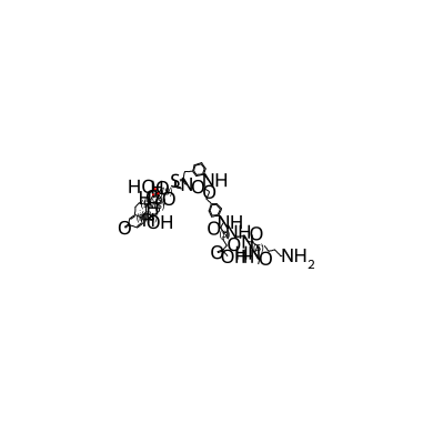 CC(=O)N[C@@H](CCCCN)C(=O)NCC(=O)N[C@@H](CCC(=O)O)C(=O)Nc1ccc(COC(=O)Nc2cccc(Cc3ncc([C@H]4O[C@@H]5C[C@H]6[C@@H]7CCC8=CC(=O)C=C[C@]8(C)[C@H]7[C@@H](O)C[C@]6(C)[C@]5(C(=O)CO)O4)s3)c2)cc1